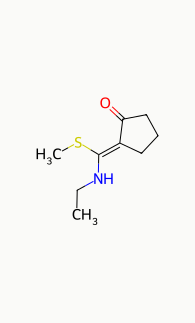 CCN/C(SC)=C1\CCCC1=O